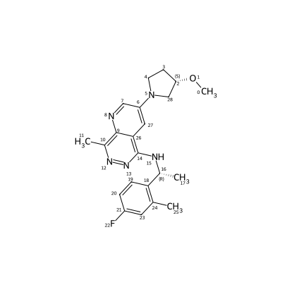 CO[C@H]1CCN(c2cnc3c(C)nnc(N[C@H](C)c4ccc(F)cc4C)c3c2)C1